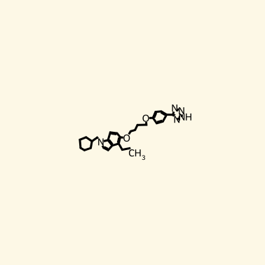 CCCc1c(OCCCCOc2ccc(-c3nn[nH]n3)cc2)ccc2c1ccn2CC1CCCCC1